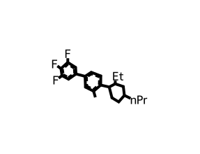 CCCC1CCC(c2ccc(-c3cc(F)c(F)c(F)c3)cc2C)C(CC)C1